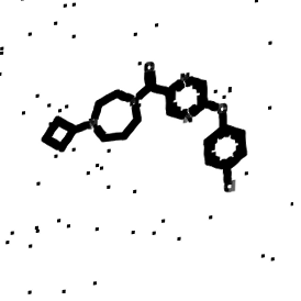 O=C(c1cnc(Oc2ccc(Cl)cc2)cn1)N1CCCN(C2CCC2)CC1